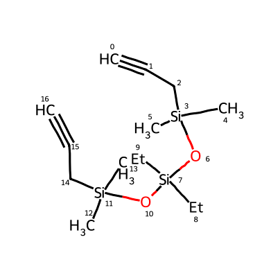 C#CC[Si](C)(C)O[Si](CC)(CC)O[Si](C)(C)CC#C